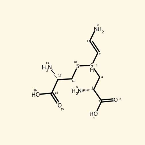 NC=C[SH](C[C@@H](N)C(=O)O)SC[C@@H](N)C(=O)O